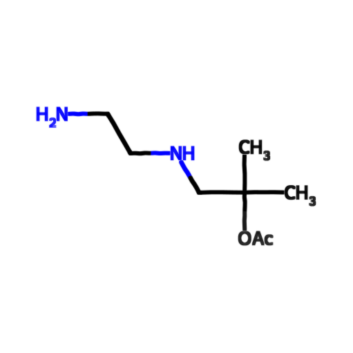 CC(=O)OC(C)(C)CNCCN